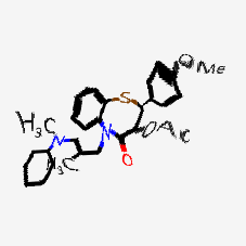 COc1ccc([C@@H]2Sc3ccccc3N(CC(C)CN(C)C3CCCCC3)C(=O)[C@@H]2OC(C)=O)cc1